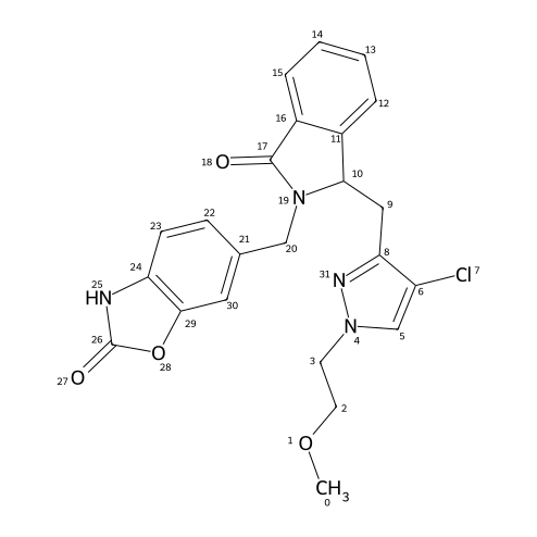 COCCn1cc(Cl)c(CC2c3ccccc3C(=O)N2Cc2ccc3[nH]c(=O)oc3c2)n1